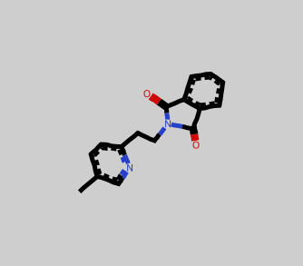 Cc1ccc(CCN2C(=O)c3ccccc3C2=O)nc1